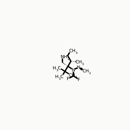 C=NN(C(F)F)[C@](CN)([C@@H](C)CC)C(C)(C)C